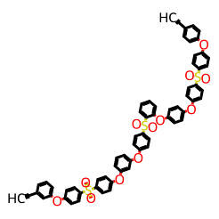 C#Cc1ccc(Oc2ccc(S(=O)(=O)c3ccc(Oc4ccc(Oc5ccccc5S(=O)(=O)c5ccc(Oc6cccc(Oc7ccc(S(=O)(=O)c8ccc(Oc9cccc(C#C)c9)cc8)cc7)c6)cc5)cc4)cc3)cc2)cc1